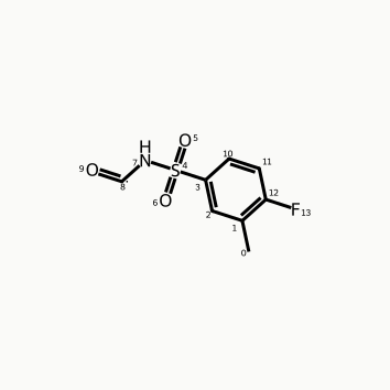 Cc1cc(S(=O)(=O)N[C]=O)ccc1F